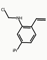 C=Cc1ccc(C(C)C)cc1NCCl